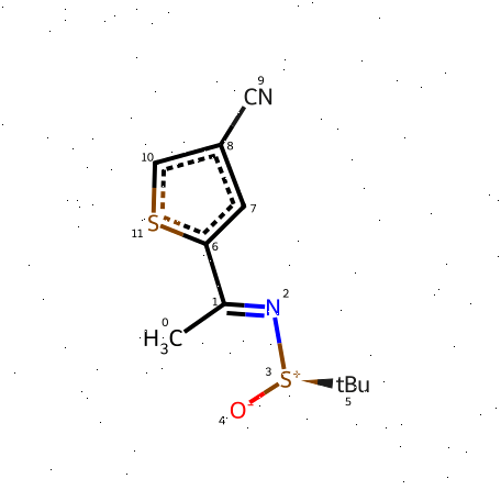 CC(=N[S@+]([O-])C(C)(C)C)c1cc(C#N)cs1